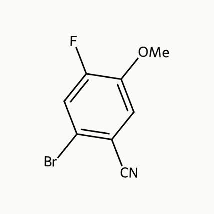 COc1cc(C#N)c(Br)cc1F